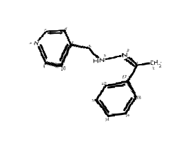 [CH2]C(=NNCc1ccncc1)c1ccccc1